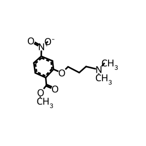 COC(=O)c1ccc([N+](=O)[O-])cc1OCCCN(C)C